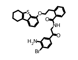 Nc1cc(C(=O)CNC(=O)c2ccccc2CCOc2cccc3c4c(sc23)CCCC4)ccc1Br